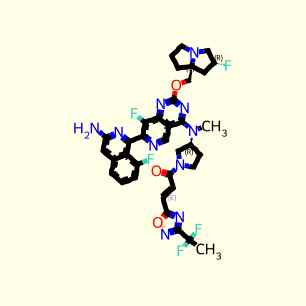 CN(c1nc(OC[C@@]23CCCN2C[C@H](F)C3)nc2c(F)c(-c3nc(N)cc4cccc(F)c34)ncc12)[C@@H]1CCN(C(=O)/C=C/c2nc(C(C)(F)F)no2)C1